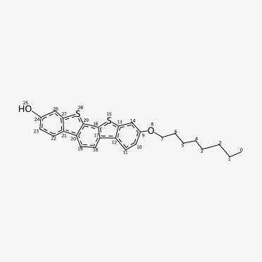 CCCCCCCCOc1ccc2c(c1)sc1c2ccc2c3ccc(O)cc3sc21